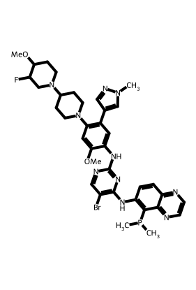 COc1cc(N2CCC(N3CCC(OC)C(F)C3)CC2)c(-c2cnn(C)c2)cc1Nc1ncc(Br)c(Nc2ccc3nccnc3c2P(C)C)n1